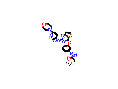 C=CC(=O)Nc1cccc(Oc2nc(Nc3ccc(N4CCOCC4)nc3)nc3ccsc23)c1